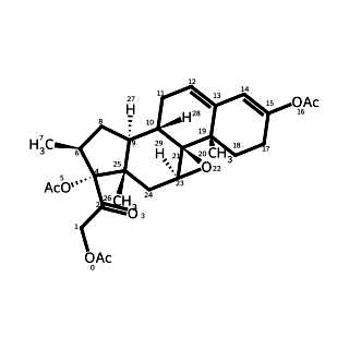 CC(=O)OCC(=O)[C@@]1(OC(C)=O)[C@@H](C)C[C@H]2[C@@H]3CC=C4C=C(OC(C)=O)CC[C@]4(C)[C@@]34O[C@H]4C[C@@]21C